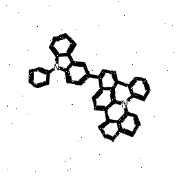 c1ccc(-n2c3ccccc3c3cc(-c4ccc5c6c7c(ccc46)-c4cccc6cccc(c46)N7c4ccccc4-5)ccc32)cc1